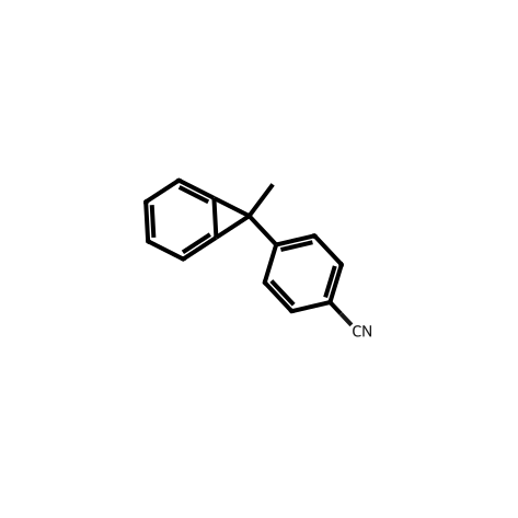 CC1(c2ccc(C#N)cc2)c2ccccc21